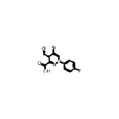 O=CC1C(Br)=CN(c2ccc(F)cc2)N=C1C(=O)O